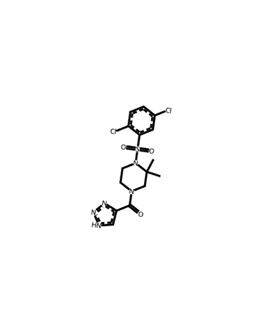 CC1(C)CN(C(=O)c2c[nH]nn2)CCN1S(=O)(=O)c1cc(Cl)ccc1Cl